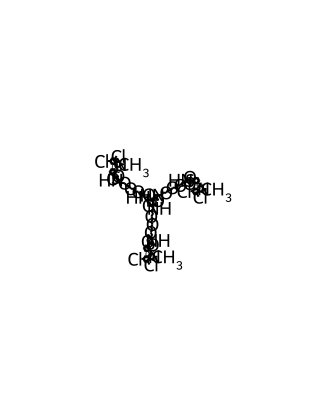 CN1Cc2c(Cl)cc(Cl)cc2[C@H](c2cccc(S(=O)(=O)NCCOCCOCCOCCNC(=O)CN(CC(=O)NCCOCCOCCOCCNS(=O)(=O)c3cccc([C@@H]4CN(C)Cc5c(Cl)cc(Cl)cc54)c3)CC(=O)NCCOCCOCCOCCNS(=O)(=O)c3cccc([C@@H]4CN(C)Cc5c(Cl)cc(Cl)cc54)c3)c2)C1